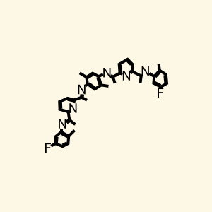 C/C(=N\c1cc(F)ccc1C)c1cccc(/C(C)=N/c2cc(C)c(/N=C(\C)c3cccc(/C(C)=N/c4cc(F)ccc4C)n3)cc2C)n1